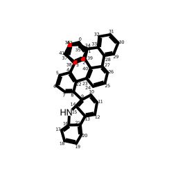 c1ccc(-c2cccc(-c3cccc4c3[nH]c3ccccc34)c2-c2cccc3c4ccccc4c4ccccc4c23)cc1